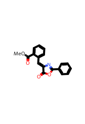 COC(=O)c1ccccc1C=C1N=C(c2ccccc2)OC1=O